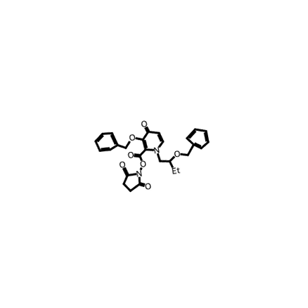 CCC(Cn1ccc(=O)c(OCc2ccccc2)c1C(=O)ON1C(=O)CCC1=O)OCc1ccccc1